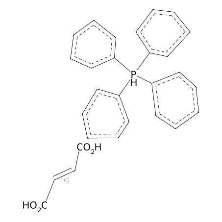 O=C(O)/C=C/C(=O)O.c1ccc([PH](c2ccccc2)(c2ccccc2)c2ccccc2)cc1